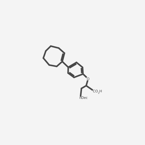 CCCCCCCCCCCC(Oc1ccc(/C2=C/CCCCCC2)cc1)C(=O)O